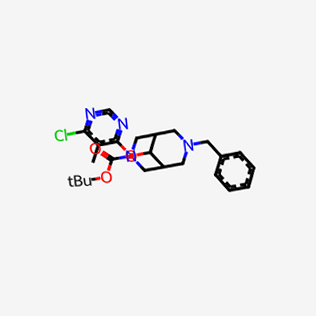 Cc1c(Cl)ncnc1OC1C2CN(Cc3ccccc3)CC1CN(C(=O)OC(C)(C)C)C2